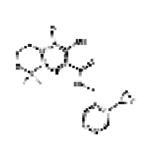 CC1(C)OCCn2c1nc(C(=O)NCc1ccccc1C1CO1)c(O)c2=O